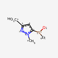 CC[S+]([O-])c1cc(C(=O)O)nn1C